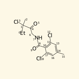 CCC(C)(Cl)C(=O)CNC(=O)c1c(Cl)cc(C)cc1Cl